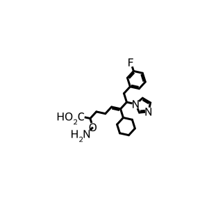 NOC(CC/C=C(\C1CCCCC1)C(Cc1cccc(F)c1)n1ccnc1)C(=O)O